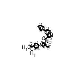 CC(C)(C)[C@H]1CC[C@H](n2cc(NC(=O)c3cnn4ccc(N5CC6CC(C5)O6)nc34)c(C(F)F)n2)CC1